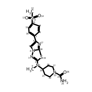 CN(c1nn2cc(-c3ccc(S(C)(=O)=O)cc3)nc2s1)C1CCN(C(N)=O)CC1